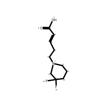 O=C(O)C=CCCN1CCCC(F)(F)C1